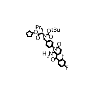 CC(C)C[C@@H](C(=O)OC1CCCC1)N(Cc1ccc(-n2c(N)c(C(=O)c3ccc(F)cc3F)ccc2=O)cc1)C(=O)OC(C)(C)C